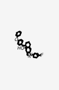 CC12Cc3cnn(-c4ccc(F)cc4)c3C=C1CCCC2C(O)c1ccc(Oc2ccccc2)cc1